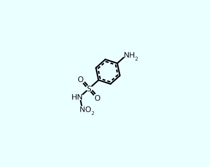 Nc1ccc(S(=O)(=O)N[N+](=O)[O-])cc1